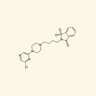 O=C1c2ccccc2S(=O)(=O)N1CCCCN1CCN(c2cncc(Cl)n2)CC1